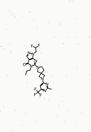 CCCn1c(N2CCC3(CN(c4cc(C(F)(F)F)nc(C)n4)C3)C2)nc2c(cnn2CC(F)F)c1=O